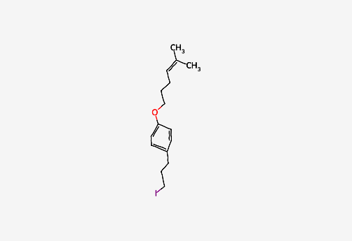 CC(C)=CCCCOc1ccc(CCCI)cc1